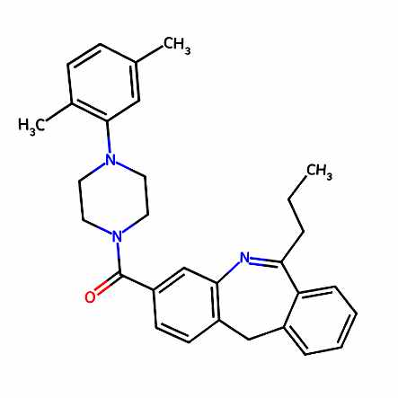 CCCC1=Nc2cc(C(=O)N3CCN(c4cc(C)ccc4C)CC3)ccc2Cc2ccccc21